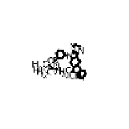 CC1(C)c2ccccc2-c2cc3c4nccnc4n(-c4cccc(B5OC(C)(C)C(C)(C)O5)c4)c3cc21